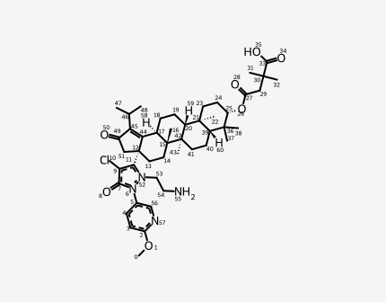 COc1ccc(-n2c(=O)c(Cl)c([C@@]34CC[C@]5(C)[C@H](CC[C@@H]6[C@@]7(C)CC[C@H](OC(=O)CC(C)(C)C(=O)O)C(C)(C)[C@@H]7CC[C@]65C)C3=C(C(C)C)C(=O)C4)n2CCN)cn1